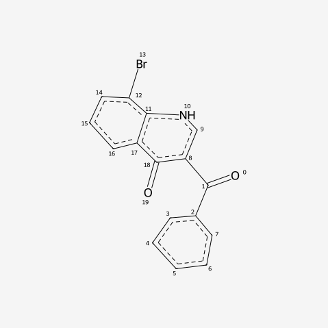 O=C(c1ccccc1)c1c[nH]c2c(Br)cccc2c1=O